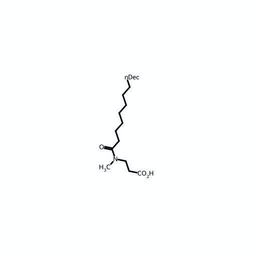 CCCCCCCCCCCCCCCCCC(=O)N(C)CCC(=O)O